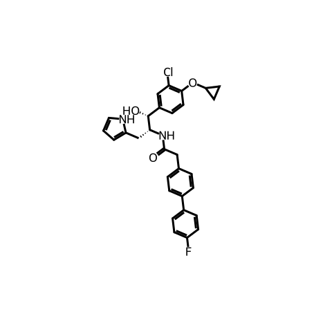 O=C(Cc1ccc(-c2ccc(F)cc2)cc1)N[C@H](Cc1ccc[nH]1)[C@H](O)c1ccc(OC2CC2)c(Cl)c1